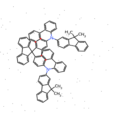 CC1(C)c2ccccc2-c2ccc(N(c3ccc4c(c3)-c3cc(N(c5ccc6c(c5)C(C)(C)c5ccccc5-6)c5ccccc5-c5ccccc5)ccc3C43c4ccccc4-c4ccccc43)c3ccccc3-c3ccccc3)cc21